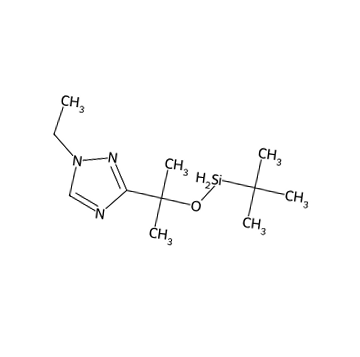 CCn1cnc(C(C)(C)O[SiH2]C(C)(C)C)n1